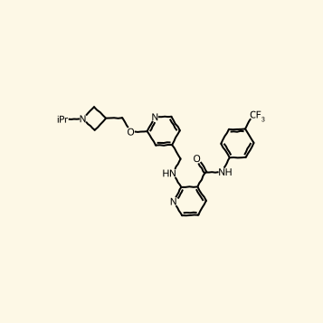 CC(C)N1CC(COc2cc(CNc3ncccc3C(=O)Nc3ccc(C(F)(F)F)cc3)ccn2)C1